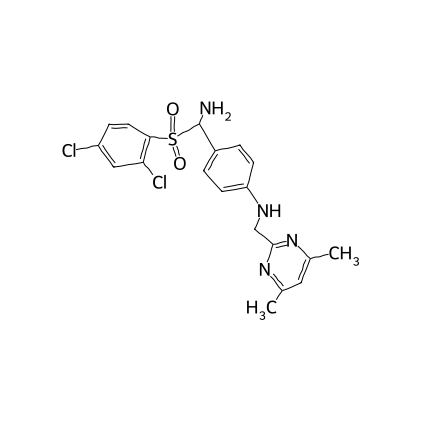 Cc1cc(C)nc(CNc2ccc(C(N)S(=O)(=O)c3ccc(Cl)cc3Cl)cc2)n1